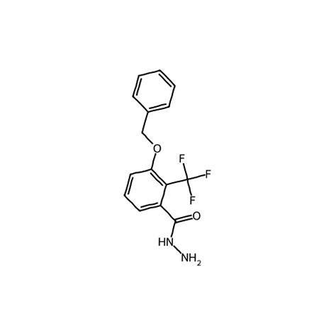 NNC(=O)c1cccc(OCc2ccccc2)c1C(F)(F)F